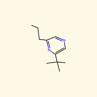 CCCc1cncc(C(C)(C)C)n1